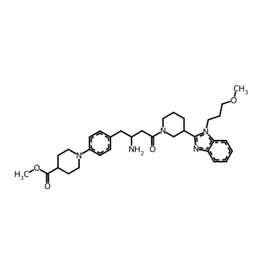 COCCCn1c(C2CCCN(C(=O)CC(N)Cc3ccc(N4CCC(C(=O)OC)CC4)cc3)C2)nc2ccccc21